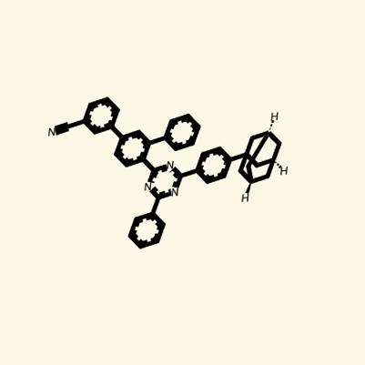 N#Cc1cccc(-c2ccc(-c3nc(-c4ccccc4)nc(-c4ccc(C56C[C@H]7C[C@H](C5)C[C@@H](C6)C7)cc4)n3)c(-c3ccccc3)c2)c1